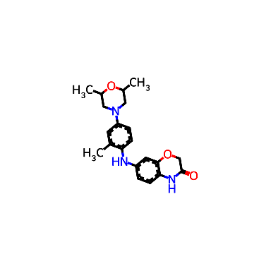 Cc1cc(N2CC(C)OC(C)C2)ccc1Nc1ccc2c(c1)OCC(=O)N2